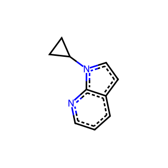 c1cnc2c(c1)ccn2C1CC1